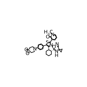 Cn1cccc(-c2nc([C@@H]3CCCC[C@H]3C(=O)NC3(C#N)CC3)c(-c3ccc(N4CCS(=O)(=O)CC4)cc3)s2)c1=O